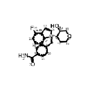 NC(=O)c1ccc(C[N+]2(C3CCOCC3O)C=Cc3c(F)cccc32)cc1